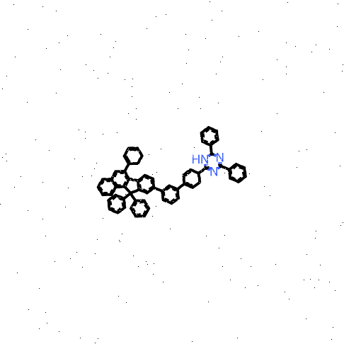 C1=CCCC(c2cc3ccccc3c3c2-c2ccc(-c4cccc(C5=CCC(C6=NC(c7ccccc7)=NC(c7ccccc7)N6)C=C5)c4)cc2C3(c2ccccc2)c2ccccc2)=C1